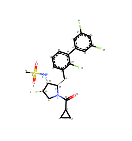 CS(=O)(=O)N[C@H]1[C@@H](F)CN(C(=O)C2CC2)[C@H]1Cc1cccc(-c2cc(F)cc(F)c2)c1F